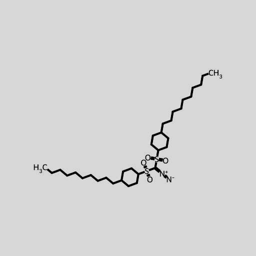 CCCCCCCCCCC1CCC(S(=O)(=O)C(=[N+]=[N-])S(=O)(=O)C2CCC(CCCCCCCCCC)CC2)CC1